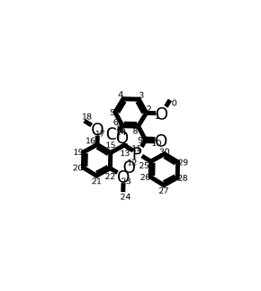 COc1cccc(Cl)c1C(=O)P(=O)(C(=O)c1c(OC)cccc1OC)c1ccccc1